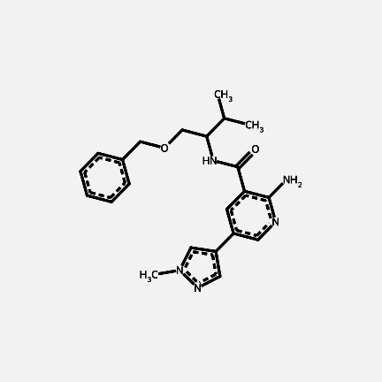 CC(C)C(COCc1ccccc1)NC(=O)c1cc(-c2cnn(C)c2)cnc1N